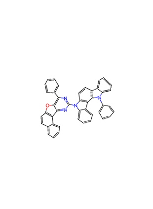 c1ccc(-c2nc(-n3c4ccccc4c4c3ccc3c5ccccc5n(-c5ccccc5)c34)nc3c2oc2ccc4ccccc4c23)cc1